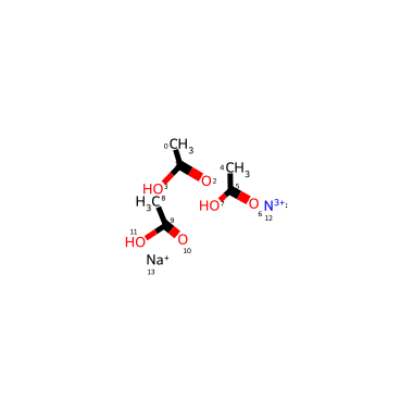 CC(=O)O.CC(=O)O.CC(=O)O.[N+3].[Na+]